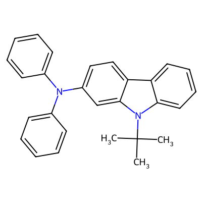 CC(C)(C)n1c2ccccc2c2ccc(N(c3ccccc3)c3ccccc3)cc21